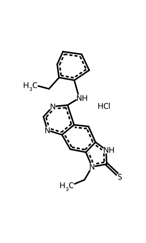 CCc1ccccc1Nc1ncnc2cc3c(cc12)[nH]c(=S)n3CC.Cl